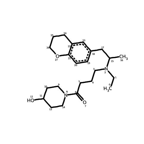 CCN(CCCC(=O)N1CCC(O)CC1)C(C)Cc1ccc2c(c1)CCCO2